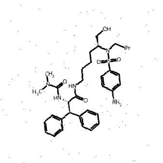 CC(C)CN([C@H](CO)CCCCNC(=O)[C@@H](NC(=O)N(C)C)C(c1ccccc1)c1ccccc1)S(=O)(=O)c1ccc(N)cc1